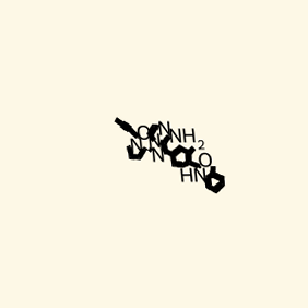 CC#CC(=O)N1CCC[C@H]1c1nc(-c2ccc(C(=O)Nc3ccccc3C)c(C)c2)c2c(N)nccn12